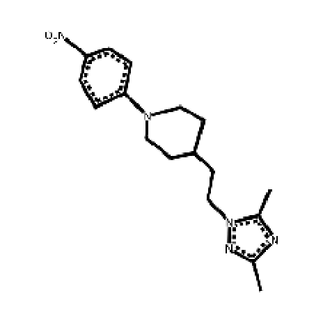 Cc1nc(C)n(CCC2CCN(c3ccc([N+](=O)[O-])cc3)CC2)n1